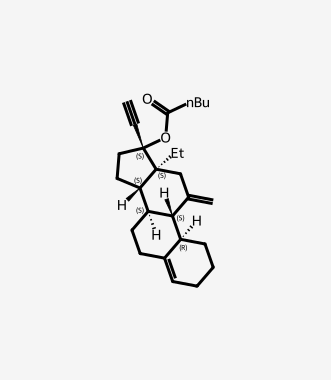 C#C[C@]1(OC(=O)CCCC)CC[C@H]2[C@@H]3CCC4=CCCC[C@@H]4[C@H]3C(=C)C[C@@]21CC